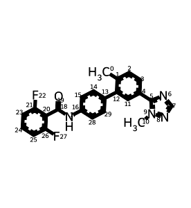 Cc1ccc(-c2ncnn2C)cc1-c1ccc(NC(=O)c2c(F)cccc2F)cc1